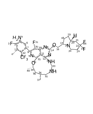 Cc1c(F)c(N)cc(-c2nc3c4c(nc(OCC5CC[C@@H]6CC(F)(F)CCN56)nc4c2F)NCNCC(C)C[C@H](C)O3)c1C(F)(F)F